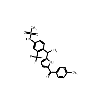 Cc1ccc(C(=O)c2ccc(C(C)c3ccc(NS(C)(=O)=O)cc3C(F)(F)F)[nH]2)cc1